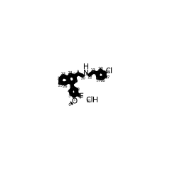 COc1ccc(-c2cc(CCNCCc3cccc(Cl)c3)cc3ccccc23)cc1F.Cl